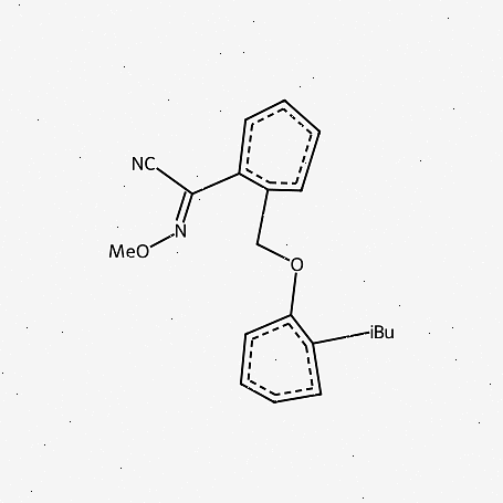 CCC(C)c1ccccc1OCc1ccccc1C(C#N)=NOC